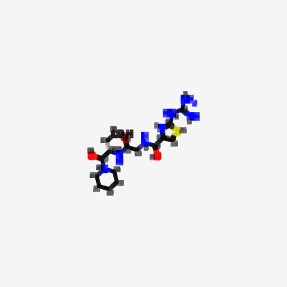 N=C(N)Nc1nc(C(=O)NCC(=O)N[C@@H](CC(=O)O)C(=O)N2CCCCC2)cs1